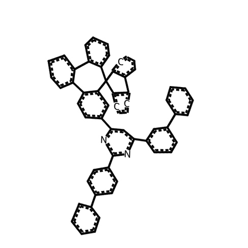 c1ccc(-c2ccc(-c3nc(-c4cccc(-c5ccccc5)c4)cc(-c4ccc5c(c4)C4(c6ccccc6-c6ccccc6-5)c5ccccc5-c5ccccc54)n3)cc2)cc1